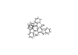 N#Cc1c(-n2c3c#cccc3c3ccccc32)c(-n2c3c(c4ccccc42)C=CCC3)c(C#N)c2c1sc1ccccc12